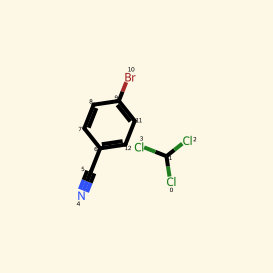 ClC(Cl)Cl.N#Cc1ccc(Br)cc1